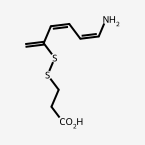 C=C(/C=C\C=C/N)SSCCC(=O)O